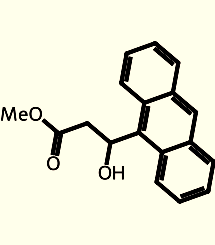 COC(=O)CC(O)c1c2ccccc2cc2ccccc12